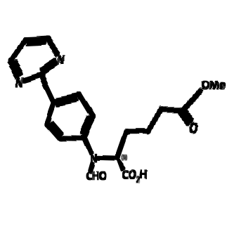 COC(=O)CCC[C@@H](C(=O)O)N(C=O)c1ccc(-c2ncccn2)cc1